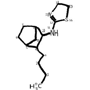 CCCCC1C2CCC(C2)C1NC1=NCCS1